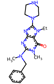 CCn1c(N2CCNCC2)nc2nc(N(C)Cc3ccccc3)n(C)c(=O)c21